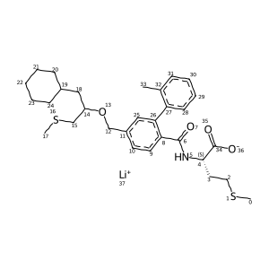 CSCC[C@H](NC(=O)c1ccc(COC(CSC)CC2CCCCC2)cc1-c1ccccc1C)C(=O)[O-].[Li+]